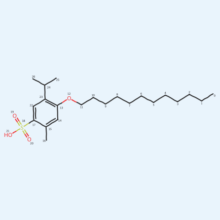 CCCCCCCCCCCCOc1cc(C)c(S(=O)(=O)O)cc1C(C)C